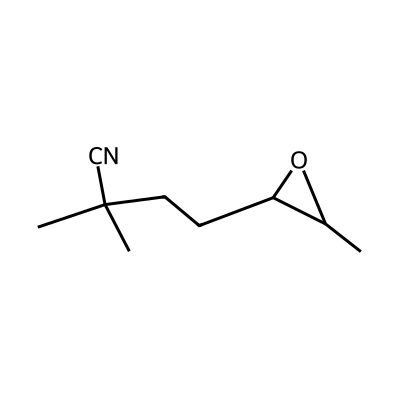 CC1OC1CCC(C)(C)C#N